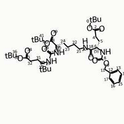 CC(C)(C)OC(=O)CC[C@H](NC(=O)OCc1ccccc1)C(=O)NCCCC[C@H](NC(=O)N[C@@H](CCC(=O)OC(C)(C)C)C(C)(C)C)C(=O)OC(C)(C)C